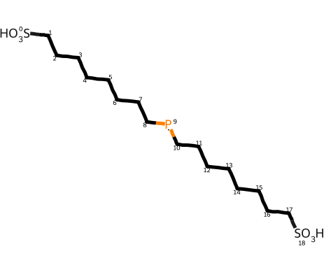 O=S(=O)(O)CCCCCCCC[P]CCCCCCCCS(=O)(=O)O